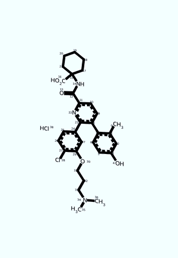 Cc1cc(O)ccc1-c1ccc(C(=O)NC2(C(=O)O)CCCCC2)nc1-c1ccc(Cl)c(OCCCN(C)C)c1.Cl